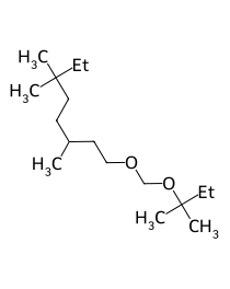 CCC(C)(C)CCC(C)CCOCOC(C)(C)CC